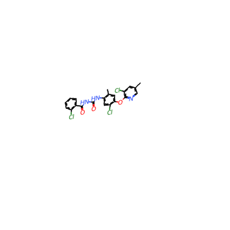 Cc1cnc(Oc2cc(C)c(NC(=O)NC(=O)c3ccccc3Cl)cc2Cl)c(Cl)c1